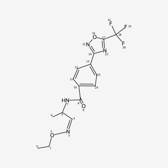 CCO/N=C\C(C)NC(=O)c1ccc(-c2noc(C(F)(F)F)n2)cc1